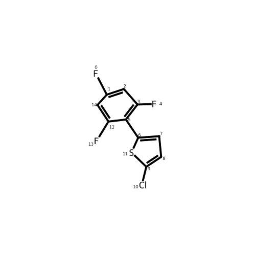 Fc1cc(F)c(-c2ccc(Cl)s2)c(F)c1